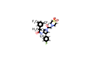 CN(C(=O)C(C)(C)c1cc(C(F)(F)F)cc(C(F)(F)F)c1)[C@@H]1CN(C(=O)CN2CCS(=O)(=O)CC2)C[C@H]1c1ccc(F)cc1